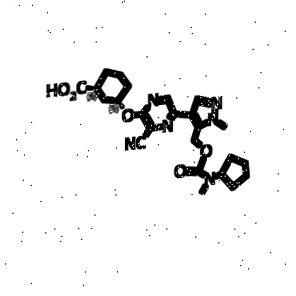 CN(C(=O)OCc1c(-c2cnc(O[C@H]3CCC[C@H](C(=O)O)C3)c(C#N)n2)cnn1C)C1CCCC1